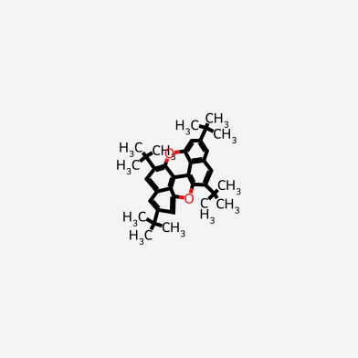 CC(C)(C)c1cc2cc(C(C)(C)C)c3oc4cc(C(C)(C)C)cc5cc(C(C)(C)C)c6oc(c1)c2c3-c6c54